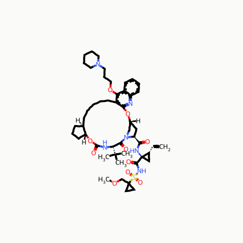 C=C[C@@H]1C[C@]1(NC(=O)[C@@H]1C[C@@H]2CN1C(=O)[C@H](C(C)(C)C)NC(=O)O[C@@H]1CCC[C@H]1CCCCCc1c(nc3ccccc3c1OCCCN1CCCCC1)O2)C(=O)NS(=O)(=O)C1(COC)CC1